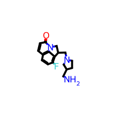 NCC1CCN(CC2Cn3c(=O)ccc4ccc(F)c2c43)C1